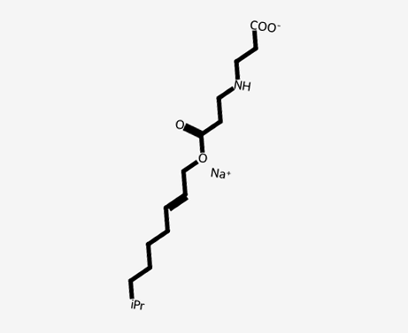 CC(C)CCCCC=CCOC(=O)CCNCCC(=O)[O-].[Na+]